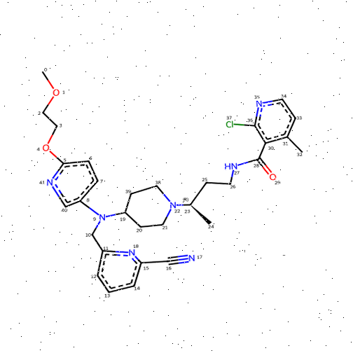 COCCOc1ccc(N(Cc2cccc(C#N)n2)C2CCN([C@H](C)CCNC(=O)c3c(C)ccnc3Cl)CC2)cn1